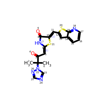 CC(C)(C(=O)/C=c1\[nH]c(=O)/c(=C/c2cc3cccnc3s2)s1)n1cncn1